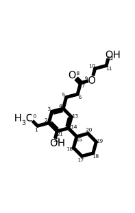 CCc1cc(CCC(=O)OCCO)cc(C2CCCCC2)c1O